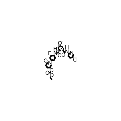 CCOC(=O)Oc1ccc(=O)n(-c2ccc(NC(=O)[C@H]3C[C@@H](OC)CN3C(=O)Nc3ccc(Cl)cn3)c(F)c2)c1